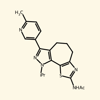 CC(=O)Nc1nc2c(s1)-c1c(c(-c3ccc(C)nc3)nn1C(C)C)CCC2